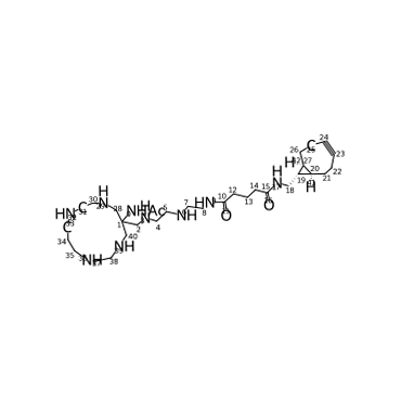 CC(=O)NC1(CNCCNCCNC(=O)CCCC(=O)NC[C@H]2[C@@H]3CCC#CCC[C@@H]32)CNCCNCCCNCCNC1